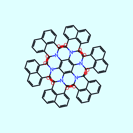 O=C1c2cccc3cccc(c23)C(=O)N1c1c(N2C(=O)c3cccc4cccc(c34)C2=O)c(N2C(=O)c3cccc4cccc(c34)C2=O)c(N2C(=O)c3cccc4cccc(c34)C2=O)c(N2C(=O)c3cccc4cccc(c34)C2=O)c1N1C(=O)c2cccc3cccc(c23)C1=O